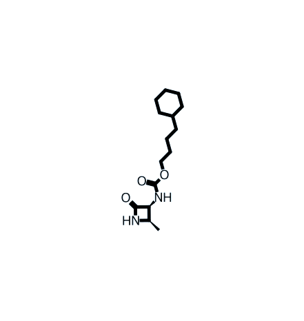 C[C@H]1NC(=O)[C@H]1NC(=O)OCCCCC1CCCCC1